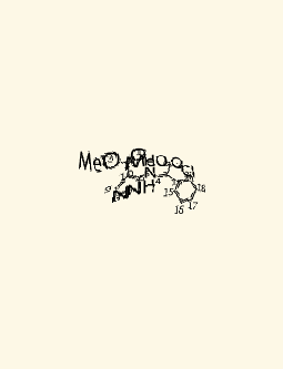 COC(=O)/C(=C\Nc1[nH]ncc1C(=O)OC)c1ccccc1Cl